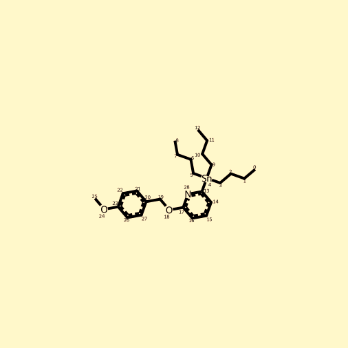 CCC[CH2][Sn]([CH2]CCC)([CH2]CCC)[c]1cccc(OCc2ccc(OC)cc2)n1